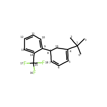 CC(C)(C)C1=CC=C[C](c2ccccc2C(F)(F)F)C1